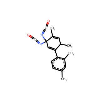 CC1=CC(C)C(c2ccc(C)cc2C)=CC1(N=C=O)N=C=O